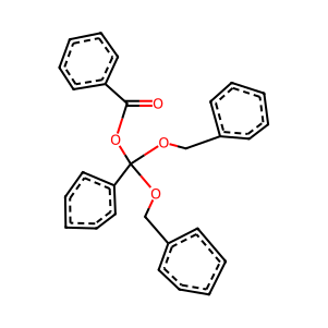 O=C(OC(OCc1ccccc1)(OCc1ccccc1)c1ccccc1)c1ccccc1